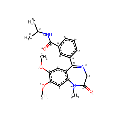 COc1cc2c(cc1OC)N(C)C(=O)CN=C2c1cccc(C(=O)NC(C)C)c1